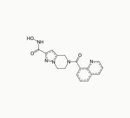 O=C(NO)c1cc2n(n1)CCN(C(=O)c1cccc3cccnc13)C2